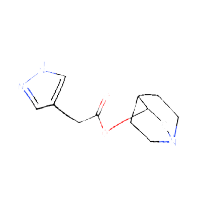 O=C(Cc1cn[nH]c1)OC1CN2CCC1CC2